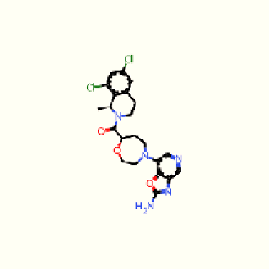 C[C@H]1c2c(Cl)cc(Cl)cc2CCN1C(=O)C1CCN(c2cncc3nc(N)oc23)CCO1